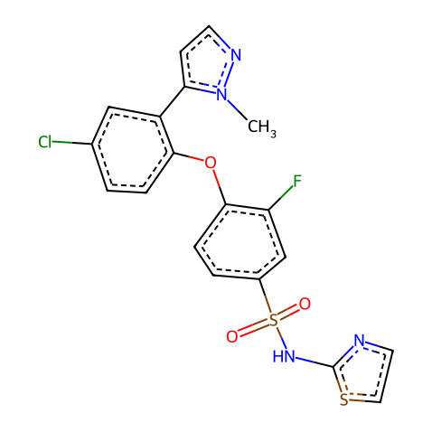 Cn1nccc1-c1cc(Cl)ccc1Oc1ccc(S(=O)(=O)Nc2nccs2)cc1F